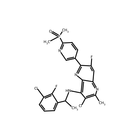 Cc1nc2cc(F)c(-c3ccc(P(C)(C)=O)nc3)nc2c(NC(C)c2cccc(Cl)c2F)c1Cl